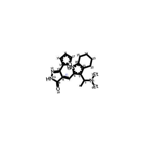 CCN(CC)C(C)c1c(/C=C2/C(=O)NN=C2c2ccco2)[nH]c2c1CCCC2